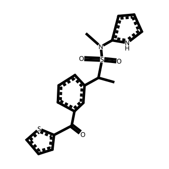 CC(c1cccc(C(=O)c2cccs2)c1)S(=O)(=O)N(C)c1ccc[nH]1